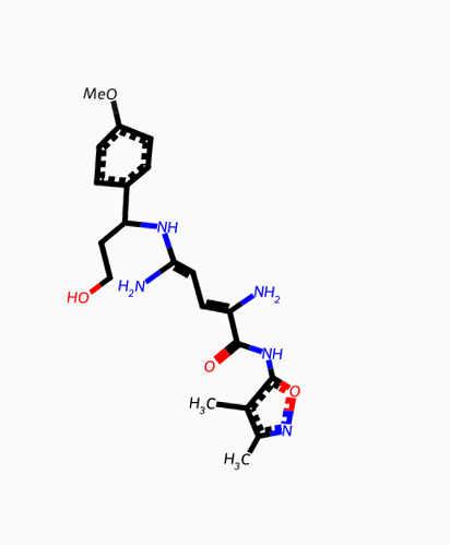 COc1ccc(C(CCO)N/C(N)=C/C=C(\N)C(=O)Nc2onc(C)c2C)cc1